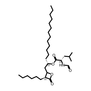 CCCCCCCCCCCCC[C@@H](CC1OC(=O)[C@H]1CCCCCC)OC(=O)[C@H](CC(C)C)NC=O